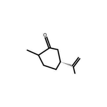 C=C(C)[C@@H]1CCC(C)C(=O)C1